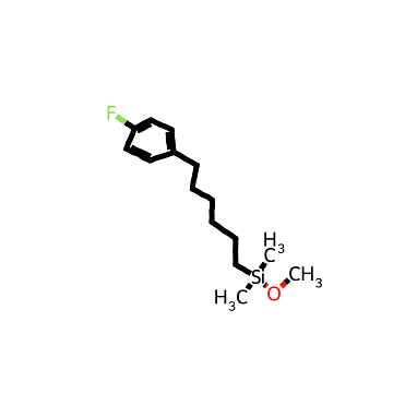 CO[Si](C)(C)CCCCCCc1ccc(F)cc1